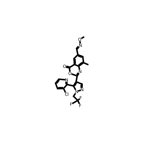 CON=Cc1cc(C)c2nc(-c3cnn(CC(F)(F)F)c3-c3ncccc3Cl)oc(=O)c2c1